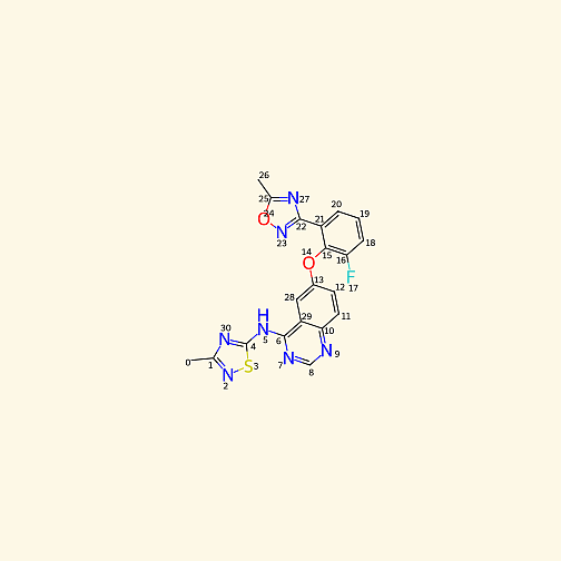 Cc1nsc(Nc2ncnc3ccc(Oc4c(F)cccc4-c4noc(C)n4)cc23)n1